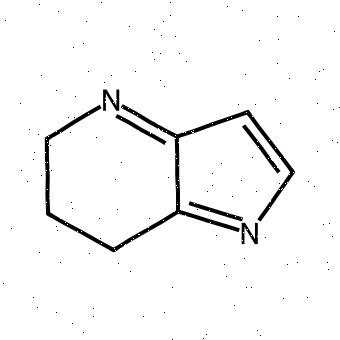 C1=CC2=NCCCC2=N1